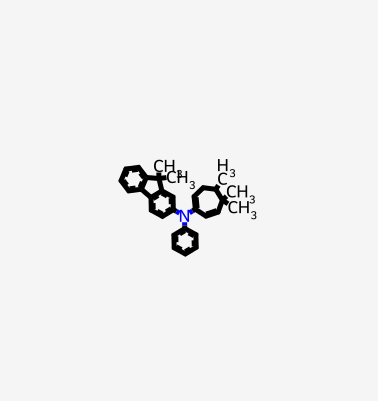 CC1CC=C(N(c2ccccc2)c2ccc3c(c2)C(C)(C)c2ccccc2-3)C=CC1(C)C